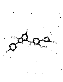 COc1nc(Nc2cc(F)cc3c2nc(-c2ccc(F)cc2)n3C)ccc1-n1cnc(C)c1